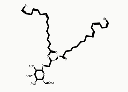 CC/C=C\C/C=C\C/C=C\CCCCCCCC(=O)OC[C@H](CO[C@@H]1O[C@H](COC(C)=O)[C@@H](OC(C)=O)[C@H](OC(C)=O)[C@H]1OC(C)=O)OC(=O)CCCCCCC/C=C\C/C=C\C/C=C\CC